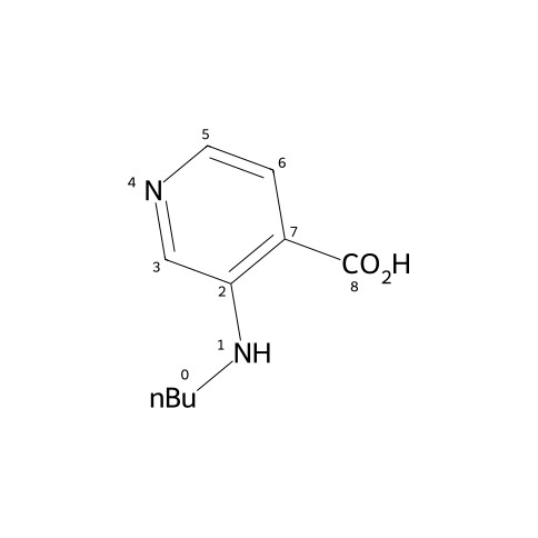 CCCCNc1cnccc1C(=O)O